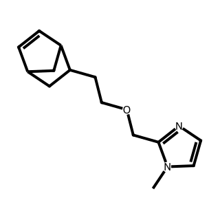 Cn1ccnc1COCCC1CC2C=CC1C2